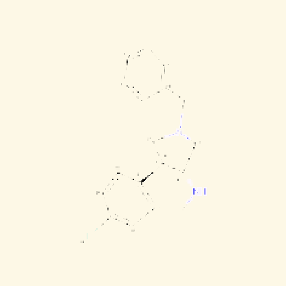 CN[C@H]1CN(Cc2ccccc2)C[C@@H]1c1ccc(F)cc1